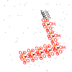 O=P([O-])([O-])C(O)P(=O)([O-])[O-].O=P([O-])([O-])C(O)P(=O)([O-])[O-].O=P([O-])([O-])C(O)P(=O)([O-])[O-].O=P([O-])([O-])C(O)P(=O)([O-])[O-].O=P([O-])([O-])C(O)P(=O)([O-])[O-].O=P([O-])([O-])C(O)P(=O)([O-])[O-].O=P([O-])([O-])C(O)P(=O)([O-])[O-].[Tc+7].[Tc+7].[Tc+7].[Tc+7]